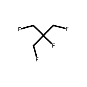 FCC(F)(CF)CF